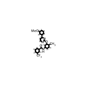 COc1cccc(-c2ccnc(Oc3cc(NC(=O)c4cccc(C(F)(F)F)c4)ccc3C)n2)c1